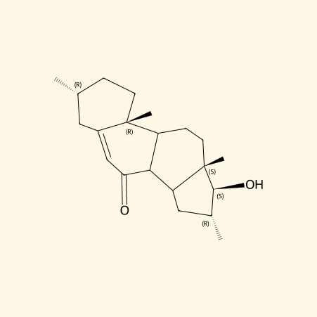 C[C@@H]1CC[C@@]2(C)C(=CC(=O)C3C2CC[C@@]2(C)C3C[C@@H](C)[C@@H]2O)C1